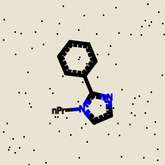 CCCn1ccnc1-c1ccccc1